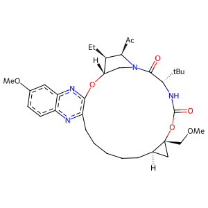 CC[C@@H]1[C@@H]2CN(C(=O)[C@H](C(C)(C)C)NC(=O)O[C@]3(COC)C[C@H]3CCCCCc3nc4ccc(OC)cc4nc3O2)[C@@H]1C(C)=O